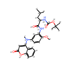 COc1ccc(N(C)c2cc(=O)oc3ccccc23)cc1NC(=O)C(CC(C)C)NC(=O)OC(C)(C)C